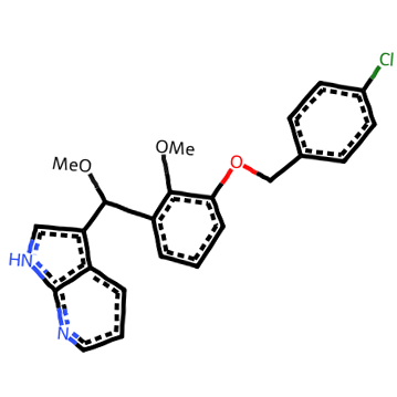 COc1c(OCc2ccc(Cl)cc2)cccc1C(OC)c1c[nH]c2ncccc12